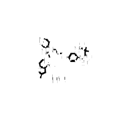 CCN1C(=O)C(C)(C)C(=O)N(C)c2cc(OCCCn3c(Cn4ccc5oc(C)cc5c4=O)nc4cnccc43)ccc21.Cl.Cl